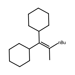 CCCCC(C)=C(C1CCCCC1)C1CCCCC1